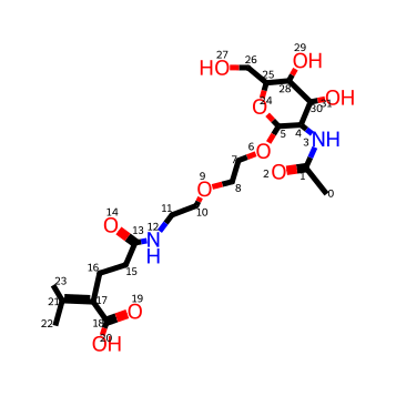 CC(=O)NC1C(OCCOCCNC(=O)CCC(C(=O)O)=C(C)C)OC(CO)C(O)C1O